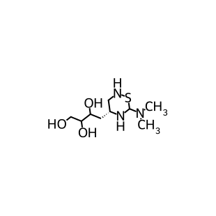 CN(C)C1N[C@H](CC(O)C(O)CO)CNS1